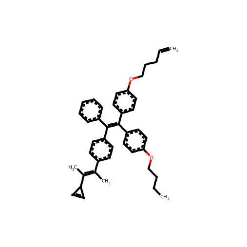 C=CCCCOc1ccc(/C(=C(\c2ccccc2)c2ccc(/C(C)=C(\C)C3C=C3)cc2)c2ccc(OCCCC)cc2)cc1